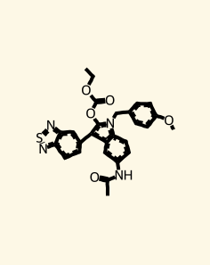 CCOC(=O)Oc1c(-c2ccc3nsnc3c2)c2cc(NC(C)=O)ccc2n1Cc1ccc(OC)cc1